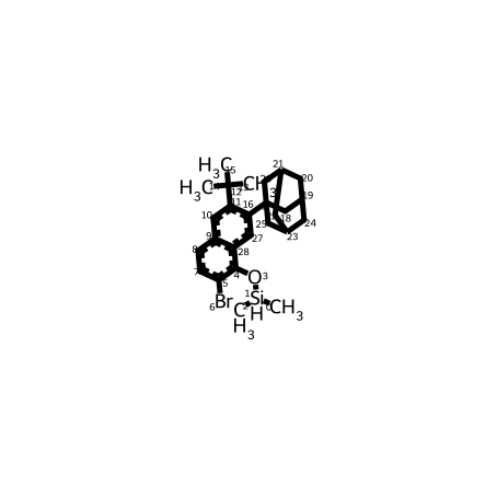 C[SiH](C)Oc1c(Br)ccc2cc(C(C)(C)C)c(C34CC5CC(CC(C5)C3)C4)cc12